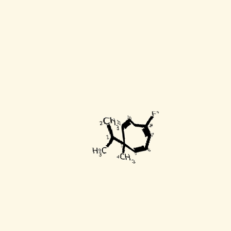 CC(C)C1(C)C=CC=C(F)C=C1